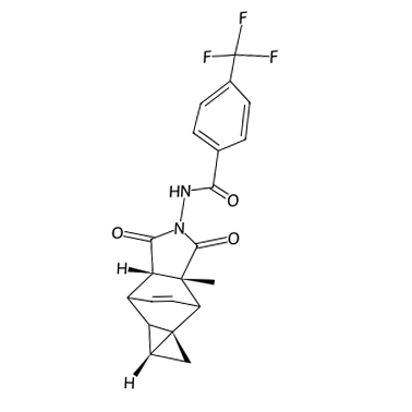 C[C@]12C(=O)N(NC(=O)c3ccc(C(F)(F)F)cc3)C(=O)[C@H]1C1C=CC2[C@]23C[C@@H]2C13